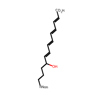 CCCCCCCCCCCCC(O)C=CC=CC=CC=CC(=O)O